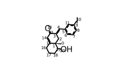 C[C@]12C/C(=C\c3cccc(I)c3)C(=O)C=C1CCC[C@@H]2O